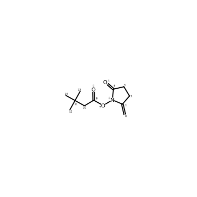 C=C1CCC(=O)N1OC(=O)CC(C)(C)C